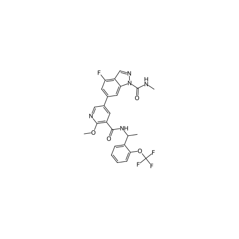 CNC(=O)n1ncc2c(F)cc(-c3cnc(OC)c(C(=O)NC(C)c4ccccc4OC(F)(F)F)c3)cc21